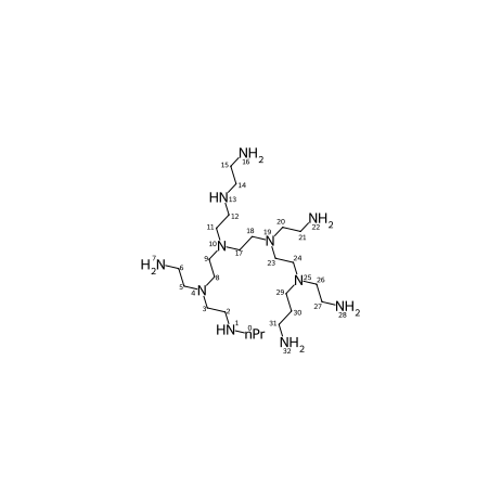 CCCNCCN(CCN)CCN(CCNCCN)CCN(CCN)CCN(CCN)CCCN